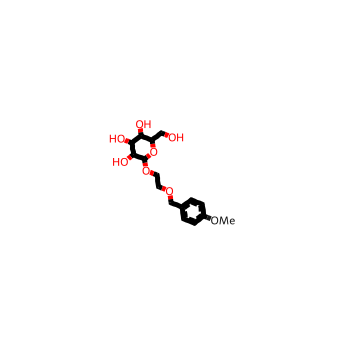 COc1ccc(COCCOC2OC(CO)C(O)C(O)C2O)cc1